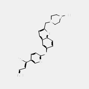 N=C/C=C(\N)c1ccc(Oc2ccc3nc(CN4CCN(C=O)CC4)ccc3c2)nc1